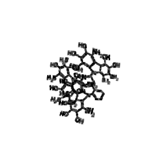 Bc1c(B)c(O)c2c(c1O)c1c(B)c(O)c(B)c(O)c1n2-c1cc(-c2ccccc2-n2c3c(B)c(O)c(O)c(B)c3c3c(O)c(O)c(O)c(B)c32)cc(-n2c3c(B)c(B)c(O)c(O)c3c3c(B)c(O)c(O)c(O)c32)n1